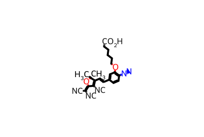 [C-]#[N+]C1=C(/C=C/c2ccc([N+]#N)c(OCCCCCC(=O)O)c2)C(C)(C)O/C1=C(\C#N)[N+]#[C-]